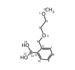 COCCOCc1ccccc1B(O)O